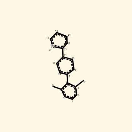 Cc1cccc(C)c1-c1ccc(-c2ccccn2)cc1